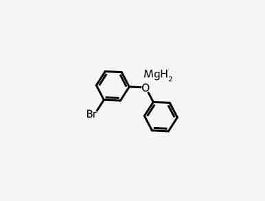 Brc1cccc(Oc2ccccc2)c1.[MgH2]